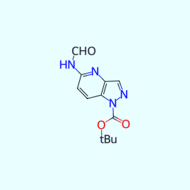 CC(C)(C)OC(=O)n1ncc2nc(NC=O)ccc21